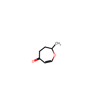 CC1CCC(=O)C=CO1